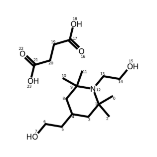 CC1(C)CC(CCO)CC(C)(C)N1CCO.O=C(O)CCC(=O)O